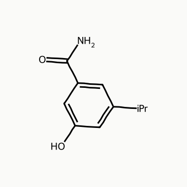 CC(C)c1cc(O)cc(C(N)=O)c1